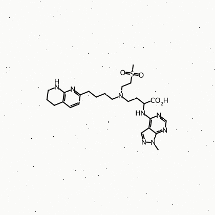 Cn1ncc2c(NC(CCN(CCCCc3ccc4c(n3)NCCC4)CCS(C)(=O)=O)C(=O)O)ncnc21